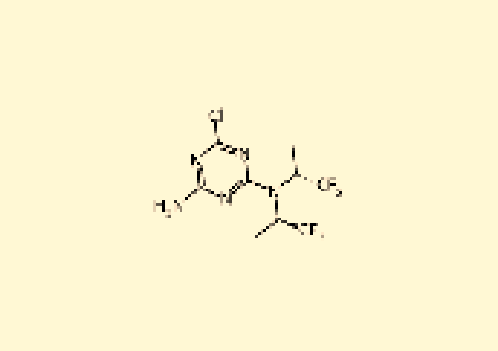 C[C@@H](N(c1nc(N)nc(Cl)n1)[C@H](C)C(F)(F)F)C(F)(F)F